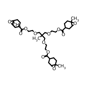 CC(COCCOC(=O)C1CCC2(C)OC2C1)(COCCOC(=O)C1CCC2(C)OC2C1)COCCOC(=O)C1CCC2(C)OC2C1